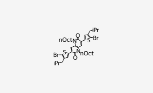 CCCCCCCCn1c(=O)c(-c2cc(CC(C)C)c(Br)s2)cc2c1cc(-c1cc(CC(C)C)c(Br)s1)c(=O)n2CCCCCCCC